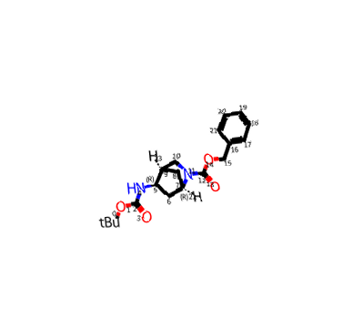 CC(C)(C)OC(=O)N[C@@H]1C[C@H]2C[C@@H]1CN2C(=O)OCc1ccccc1